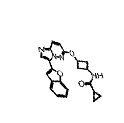 O=C(NC1CC(Oc2ccc3ncc(-c4cc5ccccc5o4)n3n2)C1)C1CC1